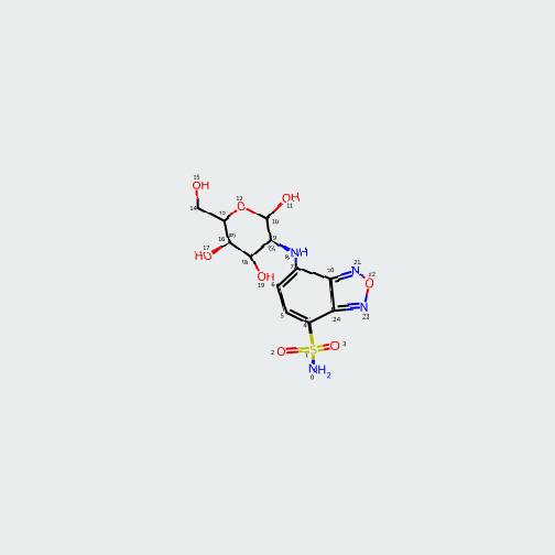 NS(=O)(=O)c1ccc(N[C@@H]2C(O)OC(CO)[C@H](O)C2O)c2nonc12